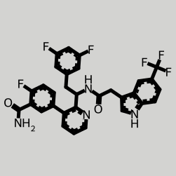 NC(=O)c1cc(-c2cccnc2C(Cc2cc(F)cc(F)c2)NC(=O)Cc2c[nH]c3ccc(C(F)(F)F)cc23)ccc1F